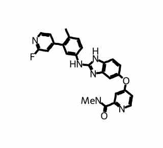 CNC(=O)c1cc(Oc2ccc3[nH]c(Nc4ccc(C)c(-c5ccnc(F)c5)c4)nc3c2)ccn1